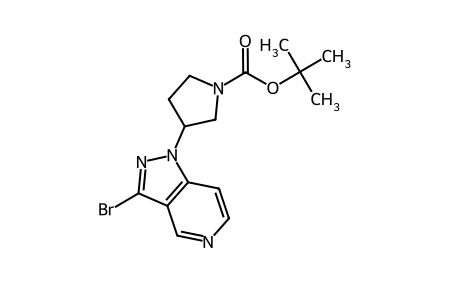 CC(C)(C)OC(=O)N1CCC(n2nc(Br)c3cnccc32)C1